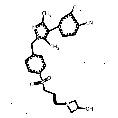 Cc1nn(Cc2ccc(S(=O)(=O)CC=CN3CC(O)C3)cc2)c(C)c1-c1ccc(C#N)c(Cl)c1